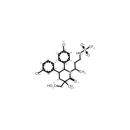 CC(CCNS(=O)(=O)C(F)(F)F)N1C(=O)C(C)(CC(=O)O)CC(c2cccc(Cl)c2)C1c1ccc(Cl)cc1